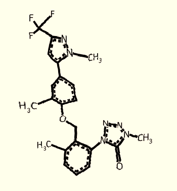 Cc1cc(-c2cc(C(F)(F)F)nn2C)ccc1OCc1c(C)cccc1-n1nnn(C)c1=O